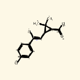 CC1(C)C(/C=C(\Cl)c2ccc(Cl)cc2)C1C(=O)Cl